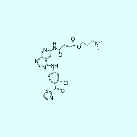 CN(C)CCCOC(=O)C=CC(=O)Nc1cc2c(Nc3ccc(C(=O)c4nccs4)c(Cl)c3)ncnc2cn1